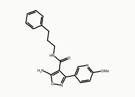 COc1ccc(-c2noc(N)c2C(=O)NCCCc2ccccc2)cn1